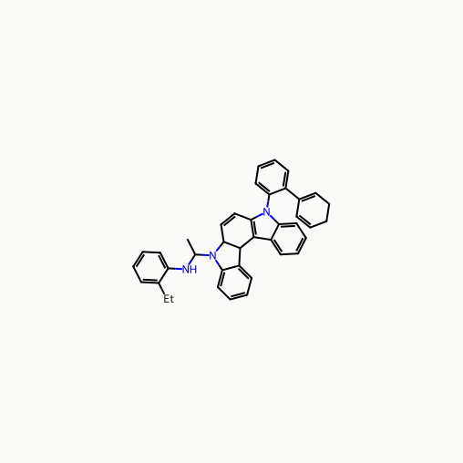 CCc1ccccc1NC(C)N1c2ccccc2C2c3c(n(-c4ccccc4C4=CCCC=C4)c4ccccc34)C=CC21